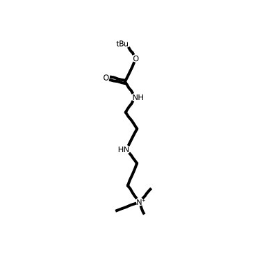 CC(C)(C)OC(=O)NCCNCC[N+](C)(C)C